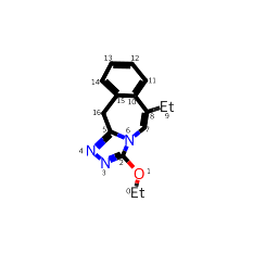 CCOc1nnc2n1C=C(CC)c1ccccc1C2